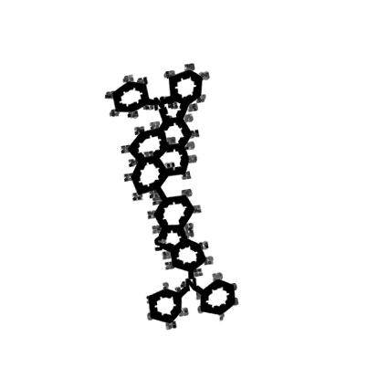 c1ccc(N(c2ccccc2)c2ccc3c(c2)sc2cc(-c4ccc5ccc6c7c(ccc4c57)cc4c5ccccc5n(-c5ccccc5)c46)ccc23)cc1